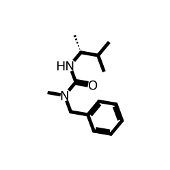 CC(C)[C@@H](C)NC(=O)N(C)Cc1ccccc1